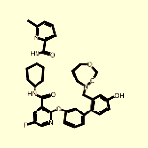 Cc1cccc(C(=O)N[C@H]2CC[C@@H](NC(=O)c3cc(F)cnc3Oc3cccc(-c4ccc(O)cc4CN4CCCOCC4)c3)CC2)n1